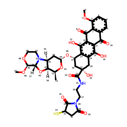 COc1cccc2c1C(=O)c1c(O)c3c(c(O)c1C2=O)C[C@@](O)(C(=O)NCCN1C(=O)CC(S)C1=O)C[C@@H]3O[C@H]1C[C@H]2[C@H](O[C@@H]3[C@@H](OC)OCCN32)[C@H](C)O1